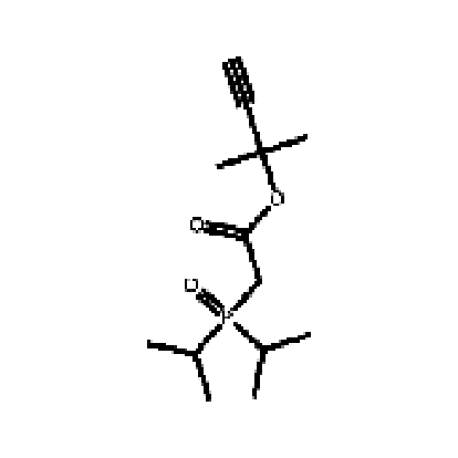 C#CC(C)(C)OC(=O)CP(=O)(C(C)C)C(C)C